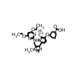 CCOc1cc(OCC)nc(NCc2c(-c3ccc(O[C@H]4CCC[C@H](C(=O)O)C4)c(C)n3)nnn2C)n1